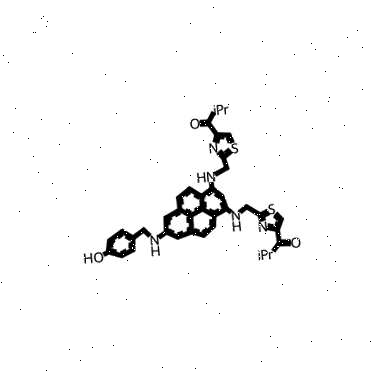 CC(C)C(=O)c1csc(CNc2cc(NCc3nc(C(=O)C(C)C)cs3)c3ccc4cc(NCc5ccc(O)cc5)cc5ccc2c3c54)n1